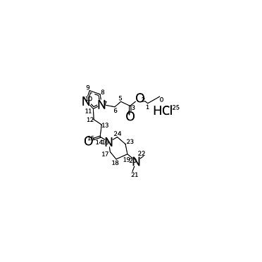 CCOC(=O)CCn1ccnc1CCC(=O)N1CCC(N(C)C)CC1.Cl